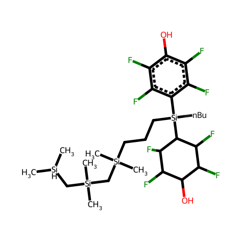 CCCC[Si](CCC[Si](C)(C)C[Si](C)(C)C[SiH](C)C)(c1c(F)c(F)c(O)c(F)c1F)C1C(F)C(F)C(O)C(F)C1F